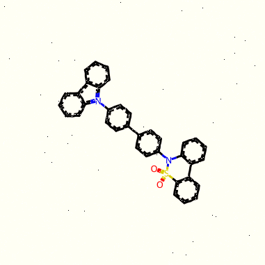 O=S1(=O)c2ccccc2-c2ccccc2N1c1ccc(-c2ccc(-n3c4ccccc4c4ccccc43)cc2)cc1